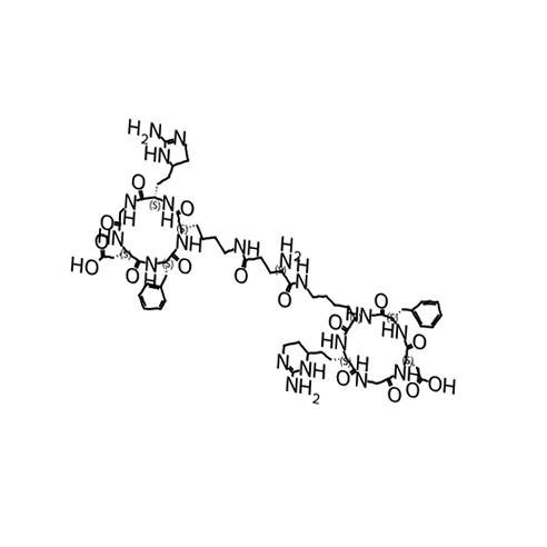 NC1=NCCC(CC[C@@H]2NC(=O)[C@H](CCCCNC(=O)CC[C@H](N)C(=O)NCCCC[C@H]3NC(=O)[C@H](Cc4ccccc4)NC(=O)[C@H](CC(=O)O)NC(=O)CNC(=O)[C@H](CCC4CCN=C(N)N4)NC3=O)NC(=O)[C@H](Cc3ccccc3)NC(=O)[C@H](CC(=O)O)NC(=O)CNC2=O)N1